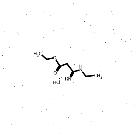 CCNC(=N)CC(=O)OCC.Cl